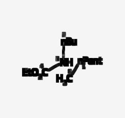 CCCCCC.CCCCNC(=O)OCC